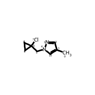 Cc1cnn(CC2(Cl)CC2)c1